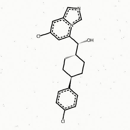 O[C@@H](c1cc(Cl)cc2cncn12)[C@H]1CC[C@H](c2ccc(Cl)cc2)CC1